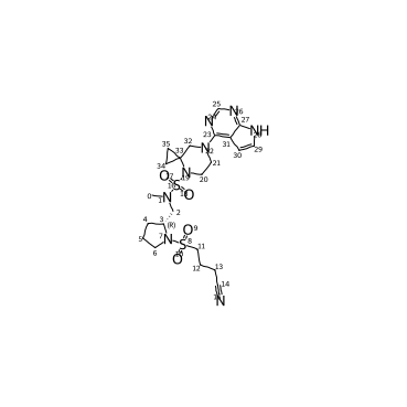 CN(C[C@H]1CCCN1S(=O)(=O)CCCC#N)S(=O)(=O)N1CCN(c2ncnc3[nH]ccc23)CC12CC2